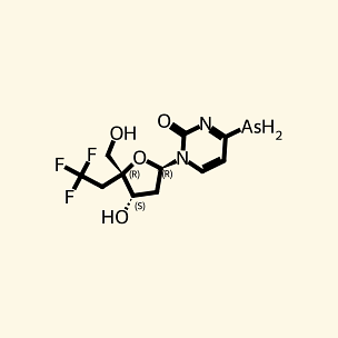 O=c1nc([AsH2])ccn1[C@H]1C[C@H](O)[C@](CO)(CC(F)(F)F)O1